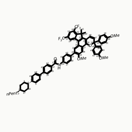 CCCCC[C@H]1CC[C@H](c2ccc(-c3ccc(C(=O)Nc4ccc(-c5cc6c7c(c8c(c6cc5OC)OC(c5ccc(OC)cc5)(c5ccc(OC)cc5)C=C8)C(C)(C)c5c-7cc(C(F)(F)F)cc5C(F)(F)F)cc4)cc3)cc2)CC1